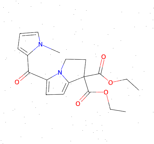 CCOC(=O)C1(C(=O)OCC)CCn2c(C(=O)c3cccn3C)ccc21